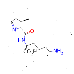 C[C@@H]1CC=N[C@H]1C(=O)N[C@@H](CCCCN)C(=O)O